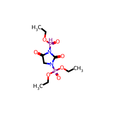 CCO[PH](=O)N1C(=O)CN(P(=O)(OCC)OCC)C1=O